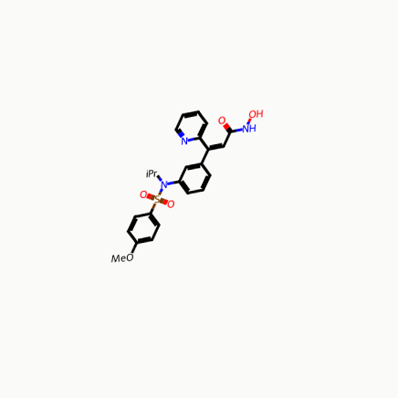 COc1ccc(S(=O)(=O)N(c2cccc(C(=CC(=O)NO)c3ccccn3)c2)C(C)C)cc1